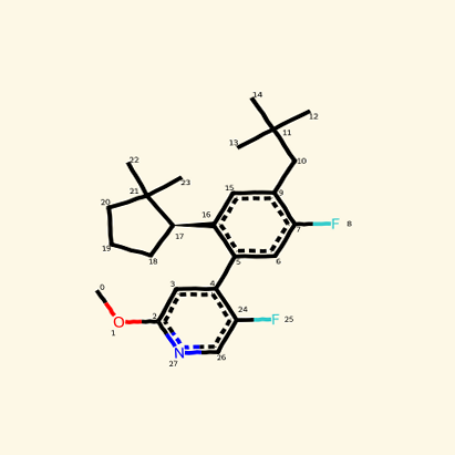 COc1cc(-c2cc(F)c(CC(C)(C)C)cc2[C@H]2CCCC2(C)C)c(F)cn1